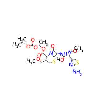 COCC1=C(C(=O)O[C@@H](C)OC(=O)OC(C)C)N2C(=O)[C@@H](NC(=O)C(=NOC)c3csc(N)n3)[C@H]2SC1